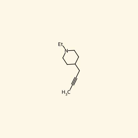 CC#CCC1CCN(CC)CC1